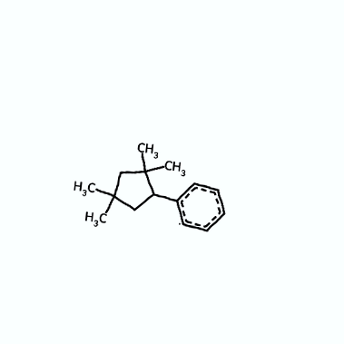 CC1(C)CC(c2[c]cccc2)C(C)(C)C1